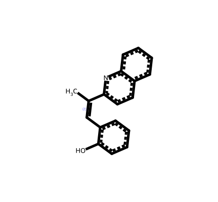 C/C(=C/c1ccccc1O)c1ccc2ccccc2n1